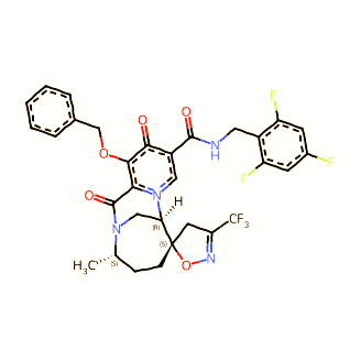 C[C@H]1CC[C@]2(CC(C(F)(F)F)=NO2)[C@H]2CN1C(=O)c1c(OCc3ccccc3)c(=O)c(C(=O)NCc3c(F)cc(F)cc3F)cn12